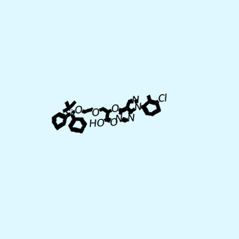 Cc1c(Cl)cccc1-n1ncc2c(OC(COCCO[Si](c3ccccc3)(c3ccccc3)C(C)(C)C)C(=O)O)ncnc21